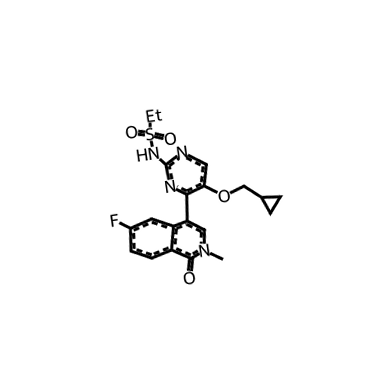 CCS(=O)(=O)Nc1ncc(OCC2CC2)c(-c2cn(C)c(=O)c3ccc(F)cc23)n1